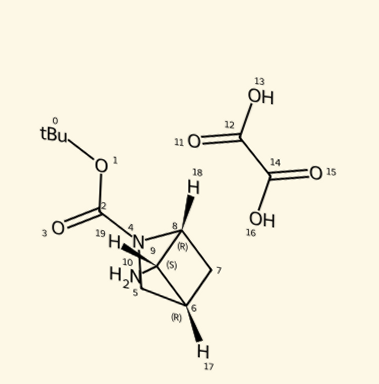 CC(C)(C)OC(=O)N1C[C@H]2C[C@@H]1[C@H]2N.O=C(O)C(=O)O